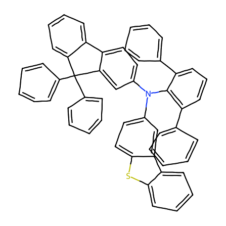 c1ccc(-c2cccc(-c3ccccc3)c2N(c2ccc3c(c2)C(c2ccccc2)(c2ccccc2)c2ccccc2-3)c2ccc3sc4ccccc4c3c2)cc1